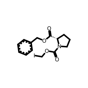 O=C(OCc1ccccc1)[C@@H]1CCCN1C(=O)OCI